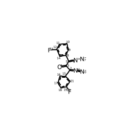 [N-]=[N+]=C(C(=O)C(=[N+]=[N-])c1cccc(F)c1)c1cccc(F)c1